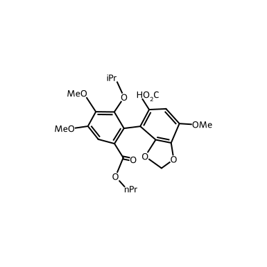 CCCOC(=O)c1cc(OC)c(OC)c(OC(C)C)c1-c1c(C(=O)O)cc(OC)c2c1OCO2